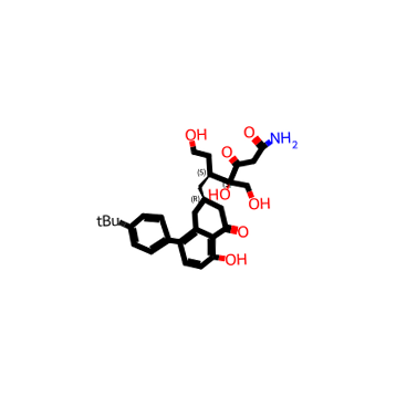 CC(C)(C)c1ccc(-c2ccc(O)c3c2C[C@@H](C[C@@H](CCO)[C@](O)(CO)C(=O)CC(N)=O)CC3=O)cc1